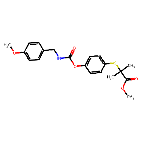 COC(=O)C(C)(C)Sc1ccc(OC(=O)NCc2ccc(OC)cc2)cc1